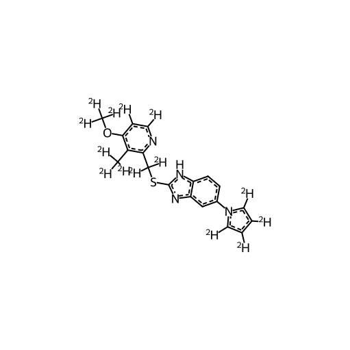 [2H]c1nc(C([2H])([2H])Sc2nc3cc(-n4c([2H])c([2H])c([2H])c4[2H])ccc3[nH]2)c(C([2H])([2H])[2H])c(OC([2H])([2H])[2H])c1[2H]